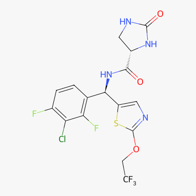 O=C1NC[C@@H](C(=O)N[C@@H](c2cnc(OCC(F)(F)F)s2)c2ccc(F)c(Cl)c2F)N1